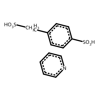 CS(=O)(=O)O.Cc1ccc(S(=O)(=O)O)cc1.c1ccncc1